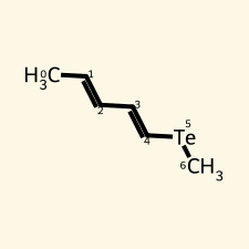 CC=CC=C[Te]C